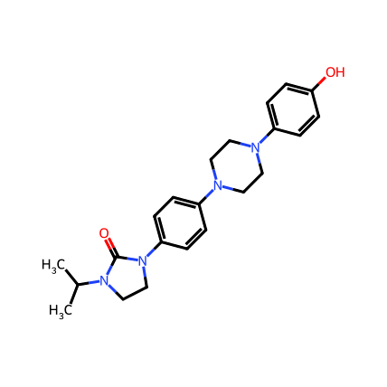 CC(C)N1CCN(c2ccc(N3CCN(c4ccc(O)cc4)CC3)cc2)C1=O